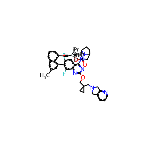 Cc1cc(-c2c(F)cc3c(N4CC5CCC(C4)N5C(=O)OC(C)(C)C)nc(OCC4(CN5Cc6cccnc6C5)CC4)nc3c2F)c2c(C#C[Si](C(C)C)(C(C)C)C(C)C)cccc2c1